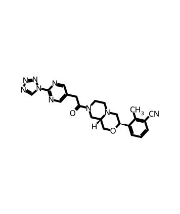 Cc1c(C#N)cccc1[C@@H]1CN2CCN(C(=O)Cc3cnc(-n4cnnn4)nc3)C[C@H]2CO1